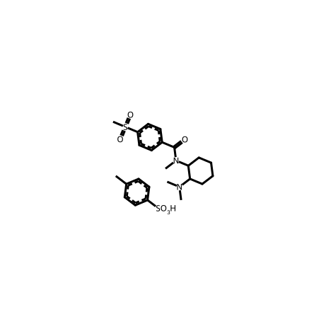 CN(C)C1CCCCC1N(C)C(=O)c1ccc(S(C)(=O)=O)cc1.Cc1ccc(S(=O)(=O)O)cc1